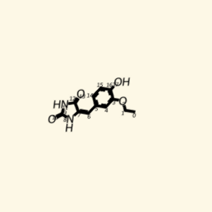 CCOc1cc(/C=C2/NC(=O)NC2=O)ccc1O